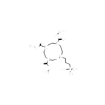 CC[N+](CC)(CC)CCCN1CCN(C(=O)OC(C)(C)C)CCN(C(=O)OC(C)(C)C)CCN(C(=O)OC(C)(C)C)CC1